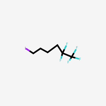 FC(F)(F)C(F)(F)CCCCI